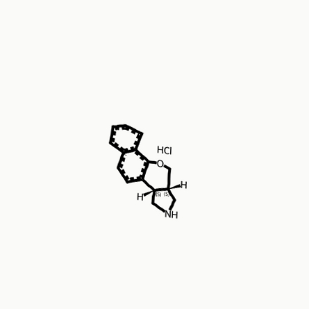 Cl.c1ccc2c3c(ccc2c1)[C@H]1CNC[C@H]1CO3